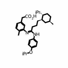 Cc1ccc(CC(=O)O)cc1/N=C(\CCC[C@@H]1C[C@H](C)CC[C@H]1C(C)C)Nc1ccc(OC(C)C)cc1